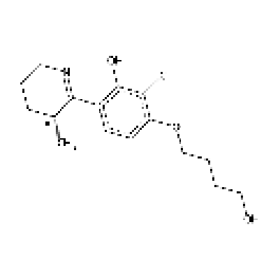 C[C@@H]1CCCN=C1c1ccc(OCCCCO)c(Cl)c1O